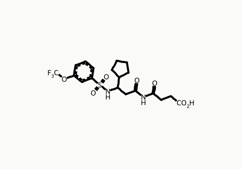 O=C(O)CCC(=O)NC(=O)CC(NS(=O)(=O)c1cccc(OC(F)(F)F)c1)C1CCCC1